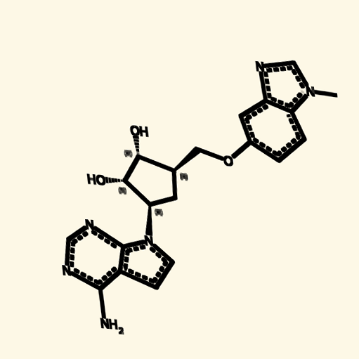 Cn1cnc2cc(OC[C@H]3C[C@@H](n4ccc5c(N)ncnc54)[C@H](O)[C@@H]3O)ccc21